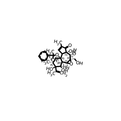 C=C(C)[C@]1(O)[C@H](C)[C@@H](C)[C@]2(OC(C)(C)c3ccccc3)C3C=C(C)C(=O)[C@@]3(O)[C@H](O)[C@@]3(CO)O[C@H]3[C@H]2[C@H]1O